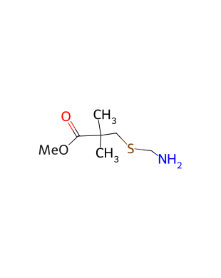 COC(=O)C(C)(C)CSCN